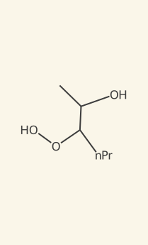 CCCC(OO)C(C)O